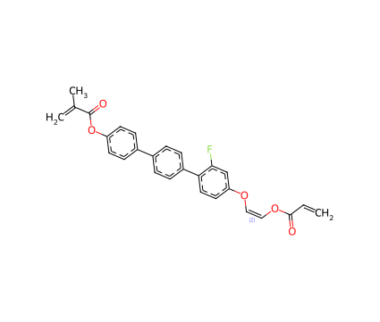 C=CC(=O)O/C=C\Oc1ccc(-c2ccc(-c3ccc(OC(=O)C(=C)C)cc3)cc2)c(F)c1